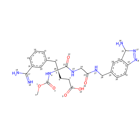 COC(=O)N[C@](CCC(=O)O)(Cc1cccc(C(=N)N)c1)C(=O)NCC(=O)NCc1ccc2c(c1)C(N)N=N2